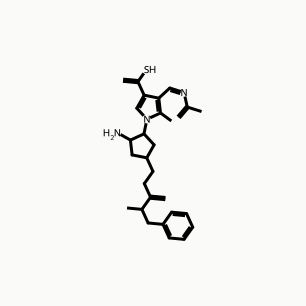 C=C(C)/N=C\c1c(C(=C)S)cn(C2CC(CCC(=C)C(C)Cc3ccccc3)CC2N)c1C